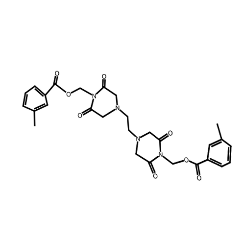 Cc1cccc(C(=O)OCN2C(=O)CN(CCN3CC(=O)N(COC(=O)c4cccc(C)c4)C(=O)C3)CC2=O)c1